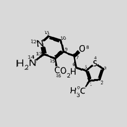 Cc1ccsc1CC(=O)c1ccnc(N)c1C(=O)O